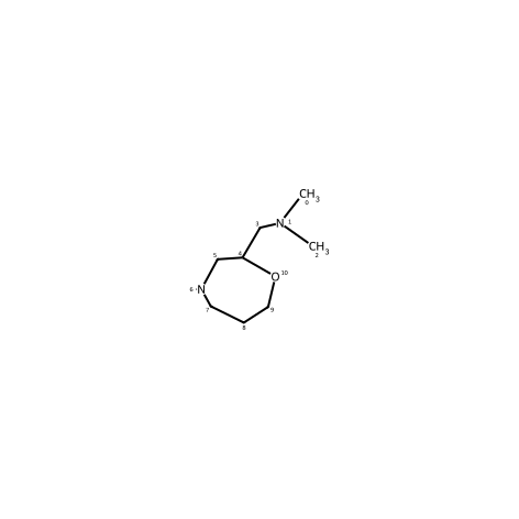 CN(C)CC1C[N]CCCO1